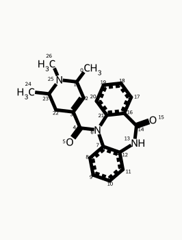 CC1C=C(C(=O)N2c3ccccc3NC(=O)c3ccccc32)CC(C)N1C